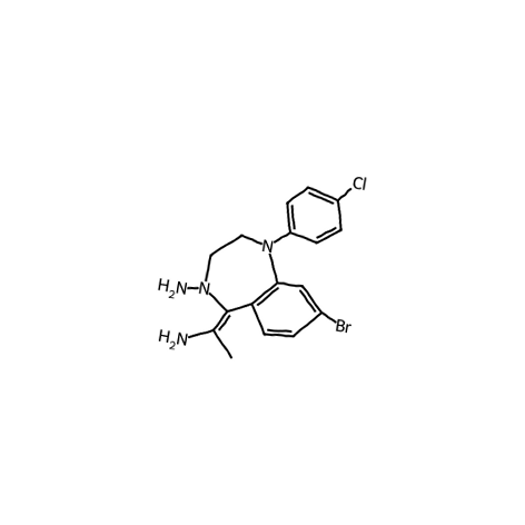 C/C(N)=C1\c2ccc(Br)cc2N(c2ccc(Cl)cc2)CCN1N